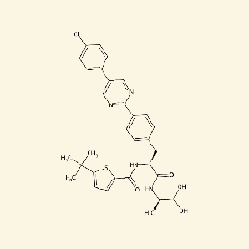 C[C@@H](NC(=O)[C@H](Cc1ccc(-c2ncc(-c3ccc(Cl)cc3)cn2)cc1)NC(=O)c1ccc(C(C)(C)C)s1)C(O)O